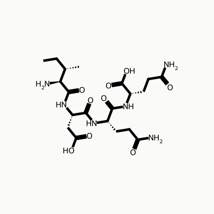 CC[C@H](C)[C@H](N)C(=O)N[C@@H](CC(=O)O)C(=O)N[C@@H](CCC(N)=O)C(=O)N[C@@H](CCC(N)=O)C(=O)O